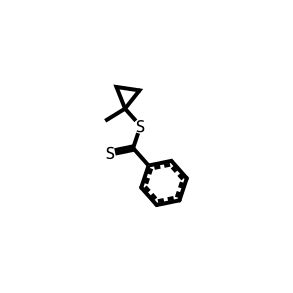 CC1(SC(=S)c2ccccc2)CC1